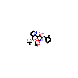 Cc1ccccc1C[C@@H](NC(=O)OC(C)(C)C)[C@@H](O)Cc1ncccc1C(=O)NC(C)(C)C